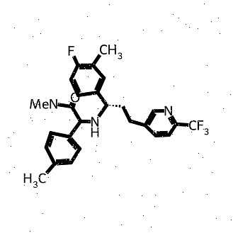 CNC(=O)C(N[C@@H](CCc1ccc(C(F)(F)F)nc1)c1ccc(F)c(C)c1)c1ccc(C)cc1